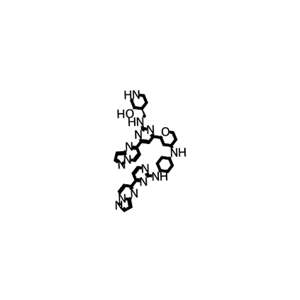 O[C@@H]1CNCC[C@H]1CNc1nc(-c2ccn3nccc3n2)cc(C2CC(N[C@H]3CC[C@H](Nc4nccc(-c5ccn6nccc6n5)n4)CC3)CCO2)n1